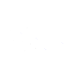 [2H]C1([2H])N(C)C([2H])([2H])C([2H])([2H])N(C2=Nc3ccccc3Nc3sc(C)cc32)C1([2H])[2H]